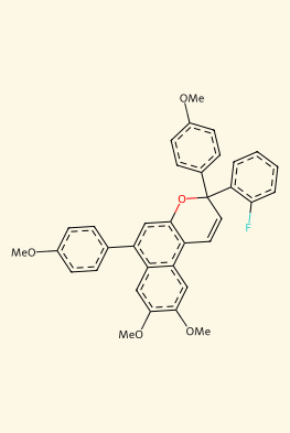 COc1ccc(-c2cc3c(c4cc(OC)c(OC)cc24)C=CC(c2ccc(OC)cc2)(c2ccccc2F)O3)cc1